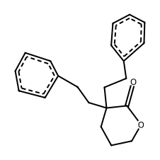 O=C1OCCCC1(CCc1ccccc1)CCc1ccccc1